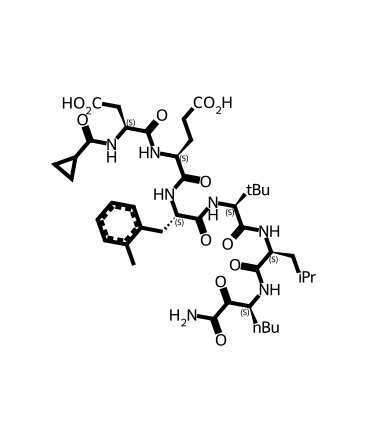 CCCC[C@H](NC(=O)[C@H](CC(C)C)NC(=O)[C@@H](NC(=O)[C@H](Cc1ccccc1C)NC(=O)[C@H](CCC(=O)O)NC(=O)[C@H](CC(=O)O)NC(=O)C1CC1)C(C)(C)C)C(=O)C(N)=O